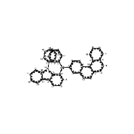 c1ccc(N(c2ccc3c(ccc4ccc5ccccc5c43)c2)c2cccc3c4ccccc4n(-c4ccccc4)c23)cc1